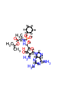 CC(C)OC(=O)[C@@H](C)NP(=O)(OC[C@H]1O[C@@H](n2cnc3c(N)nc(N)nc32)[C@H](N)[C@@H]1O)Oc1ccccc1